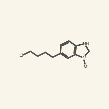 [O-][S+]1CNc2ccc(CCCCCl)cc21